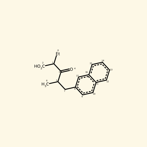 CCC(C(=O)O)C(=O)C(C)Cc1ccc2ccccc2c1